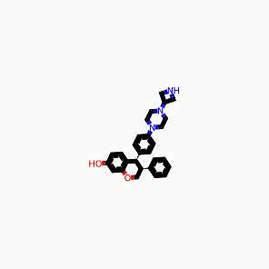 Oc1ccc2c(c1)OC[C@@H](c1ccccc1)[C@H]2c1ccc(N2CCN(C3CNC3)CC2)cc1